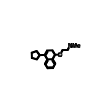 CNCCOC1CC=C(C2CCCC2)c2ccccc21